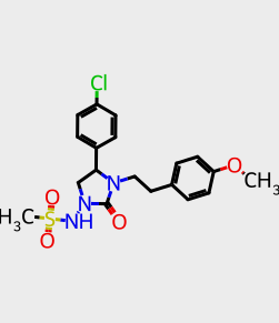 COc1ccc(CCN2C(=O)N(NS(C)(=O)=O)CC2c2ccc(Cl)cc2)cc1